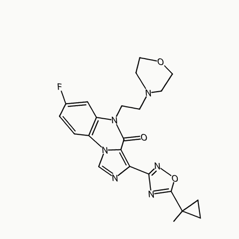 CC1(c2nc(-c3ncn4c3c(=O)n(CCN3CCOCC3)c3cc(F)ccc34)no2)CC1